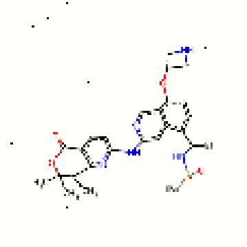 CC[C@@H](N[S+]([O-])C(C)(C)C)c1ccc(OC2CNC2)c2cnc(Nc3ccc4c(n3)[C@@H](C)C(C)(C)OC4=O)cc12